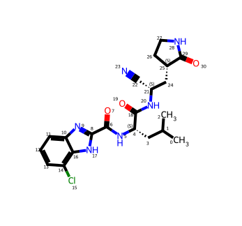 CC(C)C[C@H](NC(=O)c1nc2cccc(Cl)c2[nH]1)C(=O)N[C@H](C#N)C[C@@H]1CCNC1=O